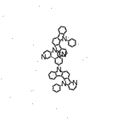 N#Cc1ccc(-n2c3ccccc3c3c2ccc2c4ncccc4n(-c4ccccc4)c23)cc1-c1cnccc1-n1c2ccccc2c2c1ccc1c3ccccc3n(-c3ccccc3)c12